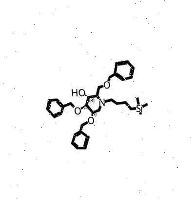 C[Si](C)(C)CCCCN1C[C@H](OCc2ccccc2)[C@@H](OCc2ccccc2)[C@H](O)C1COCc1ccccc1